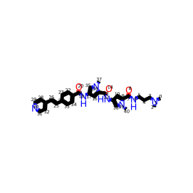 CN(C)CCCNC(=O)c1cc(NC(=O)c2cc(NC(=O)c3ccc(C=Cc4ccncc4)cc3)cn2C)cn1C